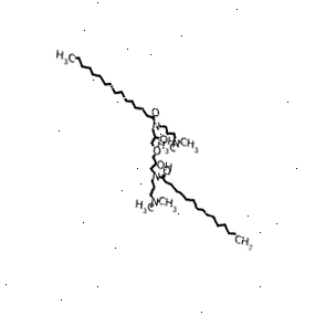 CCCCCCCCCCCCCCCC(=O)N(CCCN(C)C)CC(O)COCC(O)CN(CCCN(C)C)C(=O)CCCCCCCCCCCCCCC